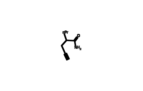 C#CCC(CCC)C(N)=O